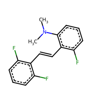 CN(C)c1cccc(F)c1C=Cc1c(F)cccc1F